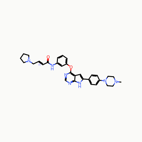 CN1CCN(c2ccc(-c3cc4c(Oc5cccc(NC(=O)/C=C/CN6CCCC6)c5)ncnc4[nH]3)cc2)CC1